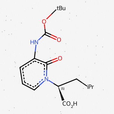 CC(C)C[C@@H](C(=O)O)n1cccc(NC(=O)OC(C)(C)C)c1=O